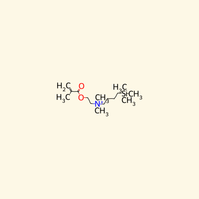 C=C(C)C(=O)OCC[N+](C)(C)CCCC[Si](C)(C)C